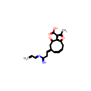 C=C/C=N/C(=N)C/C=C1\C=C=CCc2oc(C)c(C(=O)O)c2C(=O)C1